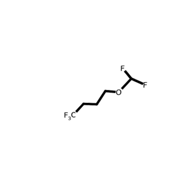 FC(F)OCCCC(F)(F)F